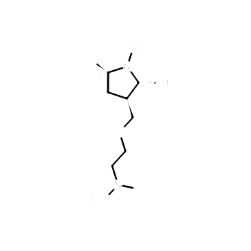 C[C@@H]1C[C@H](COCCN(C)C)[C@@H](C)N1C(C)(C)C